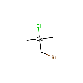 [CH3][Ge]([CH3])([Cl])[CH2]Br